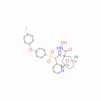 O=C(NO)[C@@]1(NC(c2cccnc2)S(=O)(=O)c2ccc(Oc3ccc(F)cc3)cc2)C[C@H]2CC[C@@H](C1)O2